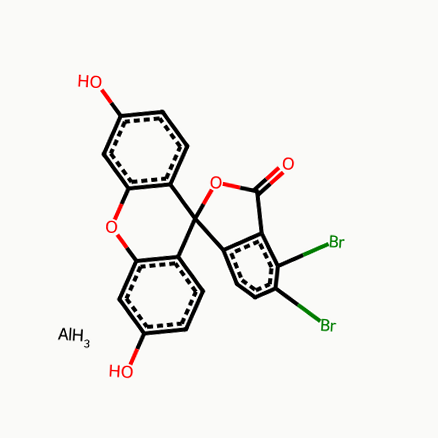 O=C1OC2(c3ccc(O)cc3Oc3cc(O)ccc32)c2ccc(Br)c(Br)c21.[AlH3]